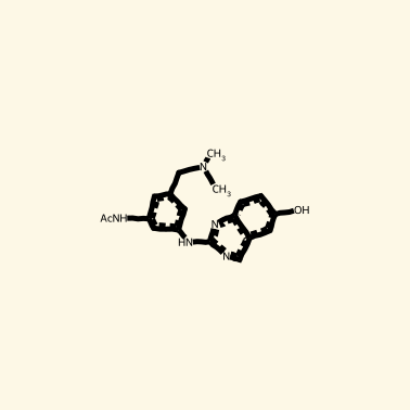 CC(=O)Nc1cc(CN(C)C)cc(Nc2ncc3cc(O)ccc3n2)c1